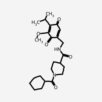 COC1=C(C(C)C)C(=O)C=C(CNC(=O)C2CCN(C(=O)C3CCCCC3)CC2)C1=O